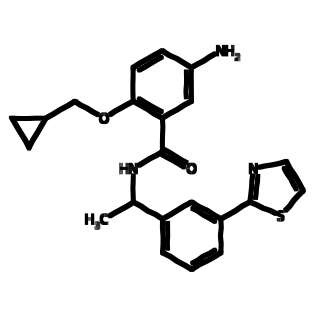 CC(NC(=O)c1cc(N)ccc1OCC1CC1)c1cccc(-c2nccs2)c1